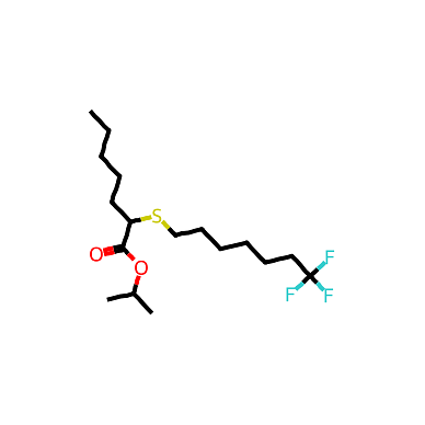 CCCCCC(SCCCCCCC(F)(F)F)C(=O)OC(C)C